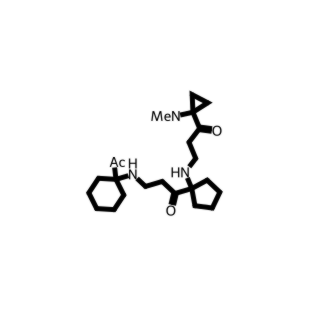 CNC1(C(=O)CCNC2(C(=O)CCNC3(C(C)=O)CCCCC3)CCCC2)CC1